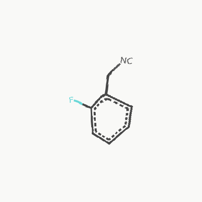 [C-]#[N+]Cc1ccccc1F